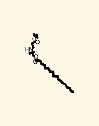 [CH2]C([CH2])(COC(=O)CCCCCCCCCCCCCCCCC)NCCC(=O)OC(C)(C)C